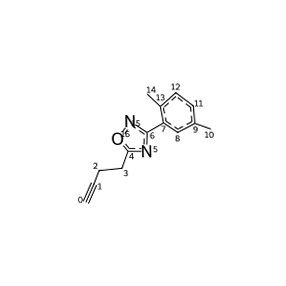 C#CCCc1nc(-c2cc(C)ccc2C)no1